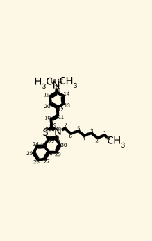 CCCCCCCC[n+]1c(C=Cc2ccc(N(C)C)cc2)sc2c3ccccc3ccc21